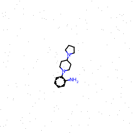 Nc1ccc[c]c1N1CCC(N2CCCC2)CC1